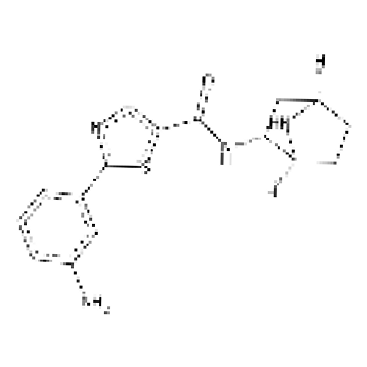 Nc1cccc(-c2ncc(C(=O)N[C@@H]3C[C@H]4CC[C@@H]3N4)s2)c1